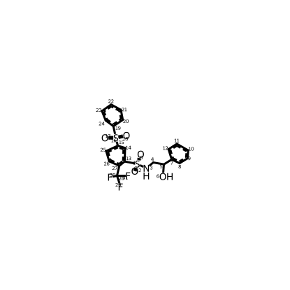 O=S(=O)(NCC(O)c1ccccc1)c1cc(S(=O)(=O)c2ccccc2)ccc1C(F)(F)F